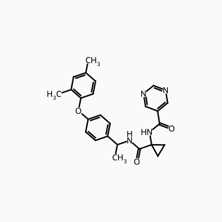 Cc1ccc(Oc2ccc(C(C)NC(=O)C3(NC(=O)c4cncnc4)CC3)cc2)c(C)c1